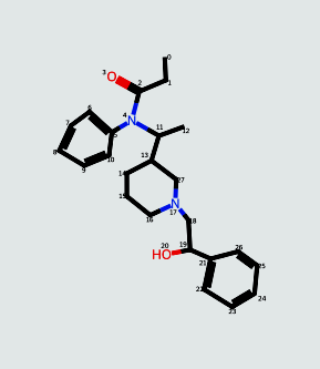 CCC(=O)N(c1ccccc1)C(C)C1CCCN(CC(O)c2ccccc2)C1